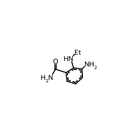 CCNc1c(N)cccc1C(N)=O